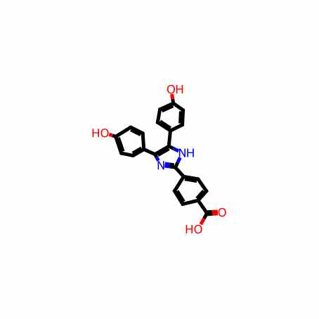 O=C(O)c1ccc(-c2nc(-c3ccc(O)cc3)c(-c3ccc(O)cc3)[nH]2)cc1